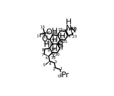 CC(C)CCC[C@@H](C)[C@H]1CC[C@H]2[C@@H]3[C@H]4OC(C)(C)O[C@@H]4[C@H]4Cc5[nH]ncc5C[C@]4(C)[C@H]3CC[C@]12C